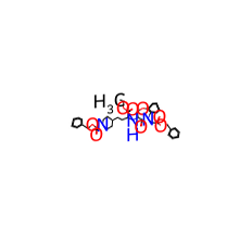 CCOC(=O)C(CCC1CCN(C(=O)OCc2ccccc2)CC1)N[C@H]1COc2ccccc2N(CC(=O)OCc2ccccc2)C1=O